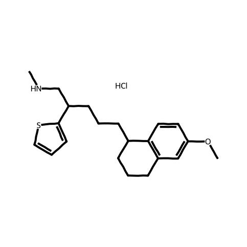 CNCC(CCCC1CCCc2cc(OC)ccc21)c1cccs1.Cl